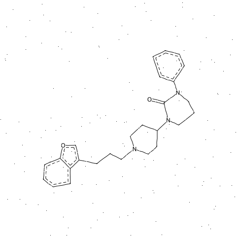 O=C1N(c2ccccc2)CCCN1C1CCN(CCCc2coc3ccccc23)CC1